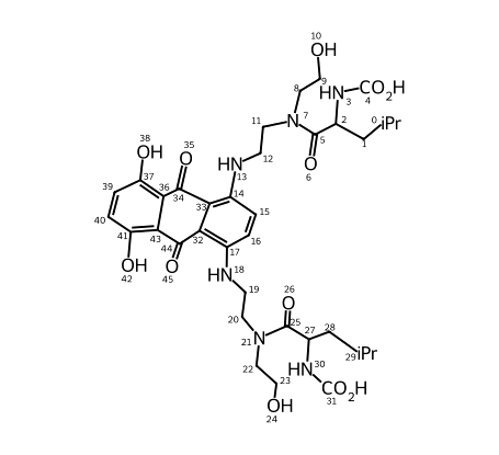 CC(C)CC(NC(=O)O)C(=O)N(CCO)CCNc1ccc(NCCN(CCO)C(=O)C(CC(C)C)NC(=O)O)c2c1C(=O)c1c(O)ccc(O)c1C2=O